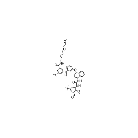 COCCOCCOCCNC(=O)c1cc(Nc2cc(Oc3ccc(NC(=O)Nc4cc(C(C)(C)C)cc(C=O)c4OC)c4ccccc34)ccn2)cc(OC)c1